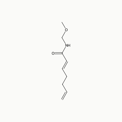 C=CCC/C=C/C(=O)NCOC